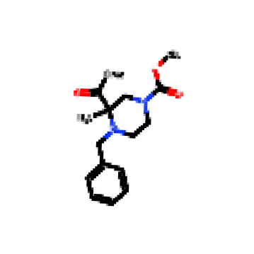 COC(=O)C1(C)CN(C(=O)OC(C)(C)C)CCN1Cc1ccccc1